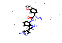 COc1cccc([C@H](N)C(=O)Nc2cccc3c(-c4cn[nH]c4)c[nH]c23)c1